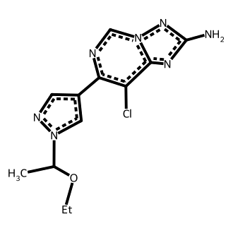 CCOC(C)n1cc(-c2ncn3nc(N)nc3c2Cl)cn1